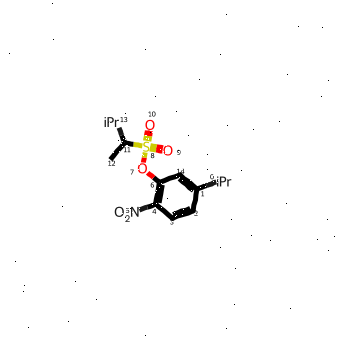 CC(C)c1ccc([N+](=O)[O-])c(OS(=O)(=O)C(C)C(C)C)c1